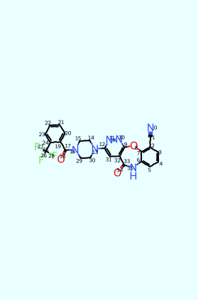 N#Cc1cccc2c1Oc1nnc(N3CCN(C(=O)c4ccccc4C(F)(F)F)CC3)cc1C(=O)N2